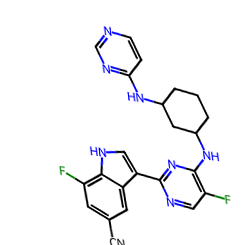 N#Cc1cc(F)c2[nH]cc(-c3ncc(F)c(NC4CCCC(Nc5ccncn5)C4)n3)c2c1